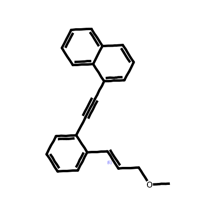 COC/C=C/c1ccccc1C#Cc1cccc2ccccc12